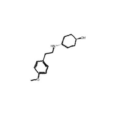 COc1ccc(CCN[C@H]2CC[C@H](O)CC2)cc1